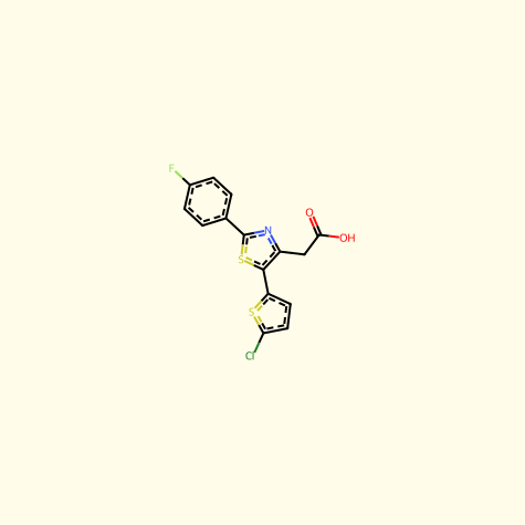 O=C(O)Cc1nc(-c2ccc(F)cc2)sc1-c1ccc(Cl)s1